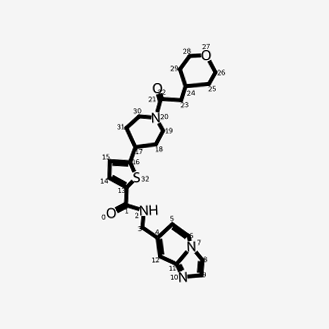 O=C(NCc1ccn2ccnc2c1)c1ccc(C2CCN(C(=O)CC3CCOCC3)CC2)s1